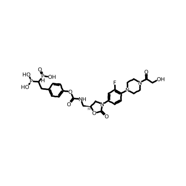 O=C(NC[C@H]1CN(c2ccc(N3CCN(C(=O)CO)CC3)c(F)c2)C(=O)O1)Oc1ccc(CC(P(O)O)[PH](=O)O)cc1